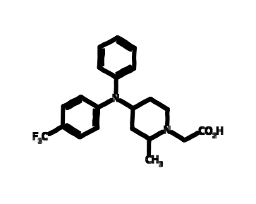 CC1CC(N(c2ccccc2)c2ccc(C(F)(F)F)cc2)CCN1CC(=O)O